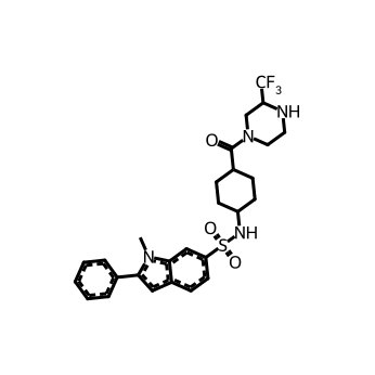 Cn1c(-c2ccccc2)cc2ccc(S(=O)(=O)NC3CCC(C(=O)N4CCNC(C(F)(F)F)C4)CC3)cc21